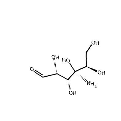 N[C@](O)([C@H](O)CO)[C@H](O)[C@@H](O)C=O